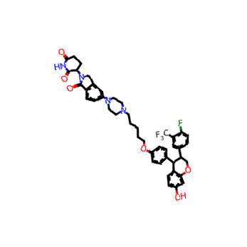 O=C1CCC(N2Cc3cc(N4CCN(CCCCCOc5ccc(C6c7ccc(O)cc7OCC6c6ccc(F)c(C(F)(F)F)c6)cc5)CC4)ccc3C2=O)C(=O)N1